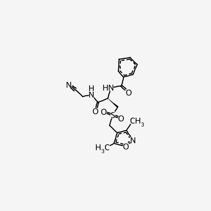 Cc1noc(C)c1CS(=O)(=O)C[C@H](NC(=O)c1ccccc1)C(=O)NCC#N